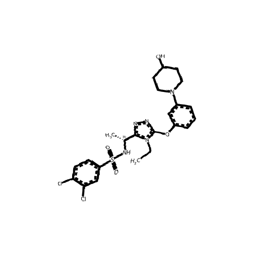 CCn1c(Oc2cccc(N3CCC(O)CC3)c2)nnc1[C@@H](C)NS(=O)(=O)c1ccc(Cl)c(Cl)c1